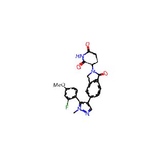 COc1ccc(-c2c(-c3ccc4c(c3)CN(C3CCC(=O)NC3=O)C4=O)cnn2C)c(F)c1